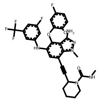 CNC(=O)N1CCCCC1C#Cc1cc(Nc2cc(F)cc(C(F)(F)F)c2)c(Oc2cc(F)ccc2Cl)c2c(N)nn(C)c12